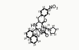 C[C@@](NC(=O)C(Cc1ccc([N+](=O)[O-])cc1)NC(=O)c1cccc2ccccc12)(C(N)=O)N1CCCC1